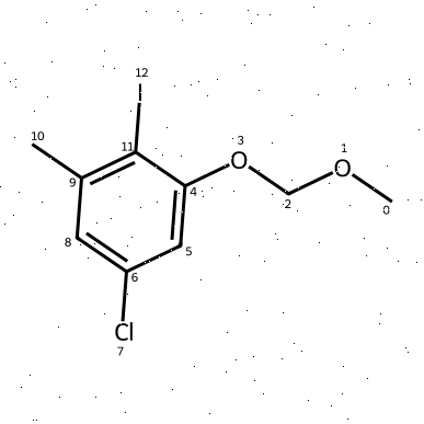 COCOc1cc(Cl)cc(C)c1I